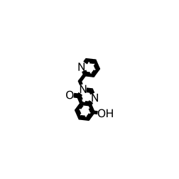 O=c1c2cccc(O)c2ncn1Cc1ccccn1